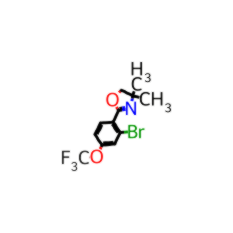 CC1(C)COC(c2ccc(OC(F)(F)F)cc2Br)=N1